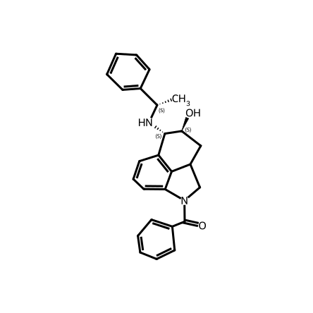 C[C@H](N[C@H]1c2cccc3c2C(C[C@@H]1O)CN3C(=O)c1ccccc1)c1ccccc1